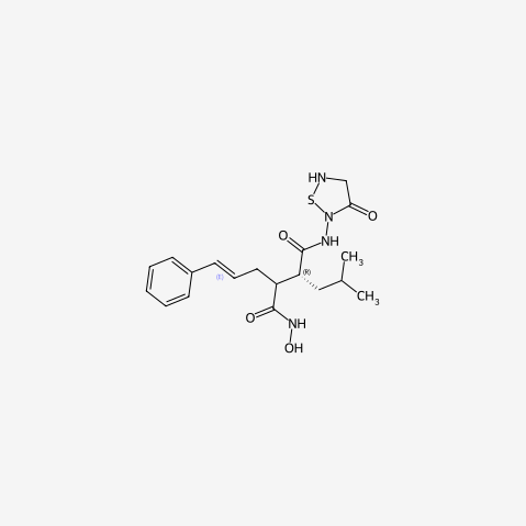 CC(C)C[C@@H](C(=O)NN1SNCC1=O)C(C/C=C/c1ccccc1)C(=O)NO